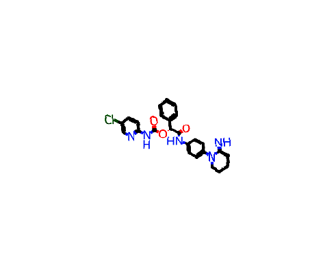 N=C1CCCCN1c1ccc(NC(=O)[C@H](OC(=O)Nc2ccc(Cl)cn2)c2ccccc2)cc1